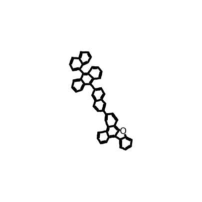 c1ccc2c(-c3c4ccccc4c(-c4ccc5cc(-c6ccc7c(c6)c6ccccc6c6c8ccccc8oc76)ccc5c4)c4ccccc34)cccc2c1